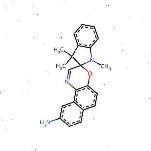 CN1c2ccccc2C(C)(C)C12C=Nc1c(ccc3ccc(N)cc13)O2